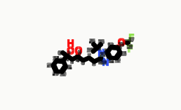 CC(O)(CC(=O)CCCc1nc2ccc(OC(F)F)cc2n1C(C)(C)C)c1ccccc1